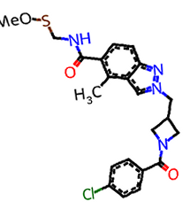 COSCNC(=O)c1ccc2nn(CC3CN(C(=O)c4ccc(Cl)cc4)C3)cc2c1C